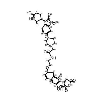 CC(C)n1c(=O)n(C2CCC(=O)NC2=O)c2ccc(C3CCN(CC(=O)NCCOc4ccc5cc(O)c(N6CC(=O)NS6(=O)=O)c(F)c5c4)CC3)cc21